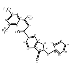 O=C(C=C(c1cc(C(F)(F)F)cc(C(F)(F)F)c1)C(F)(F)F)c1ccc2c(c1)CN(Cc1ccccn1)C2=O